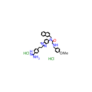 COc1ccc(CNCC(=O)N(Cc2ccc3ccccc3c2)c2ccc3c(c2)nc(CCc2ccc(C(=N)N)cc2)n3C)cc1.Cl.Cl